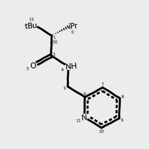 CC(C)[C@H](C(=O)NCc1ccccn1)C(C)(C)C